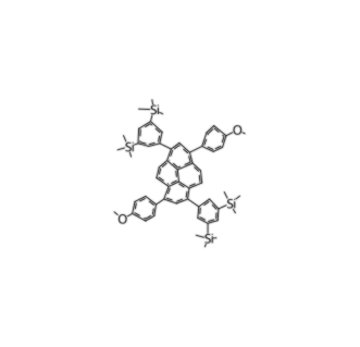 COc1ccc(-c2cc(-c3cc([Si](C)(C)C)cc([Si](C)(C)C)c3)c3ccc4c(-c5ccc(OC)cc5)cc(-c5cc([Si](C)(C)C)cc([Si](C)(C)C)c5)c5ccc2c3c45)cc1